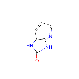 Cc1cnc2[nH]c(=O)[nH]c2c1